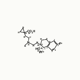 CC(C)[C@H]1c2ccc(F)cc2CC[C@]1(O)CCN(C)CCC1(C(=O)O)CC1